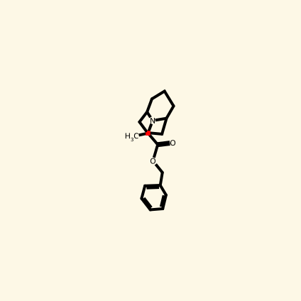 CC(C(=O)OCc1ccccc1)N1C2CCCC1CCC2